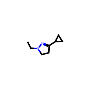 CCN1CCC(C2CC2)=N1